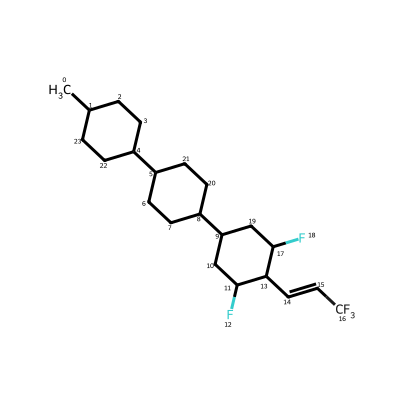 CC1CCC(C2CCC(C3CC(F)C(/C=C/C(F)(F)F)C(F)C3)CC2)CC1